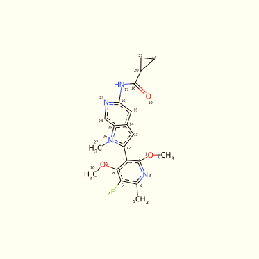 COc1nc(C)c(F)c(OC)c1-c1cc2cc(NC(=O)C3CC3)ncc2n1C